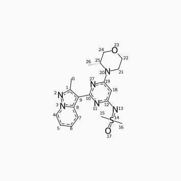 Cc1nn2ccccc2c1-c1nc(N=S(C)(C)=O)cc(N2CCOC[C@H]2C)n1